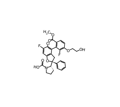 COC(=O)c1ccc(OCCO)c(F)c1-c1c(Cl)c(F)cc2c1C[C@](c1ccccc1)([C@@H]1CCCN1C(=O)O)O2